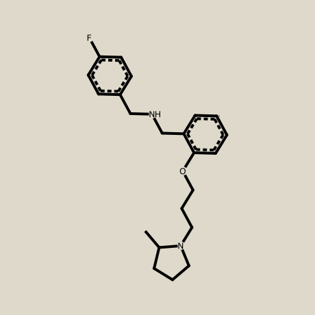 CC1CCCN1CCCOc1cc[c]cc1CNCc1ccc(F)cc1